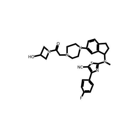 CN(c1nc(-c2ccc(F)cc2)c(C#N)s1)C1CCc2ccc(N3CCN(CC(=O)N4CC(O)C4)CC3)cc21